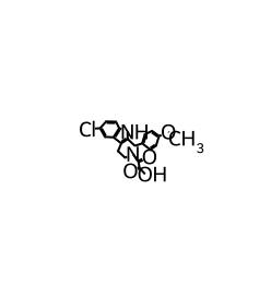 COc1ccc(C2c3[nH]c4ccc(Cl)cc4c3CCN2C(=O)C(=O)O)cc1